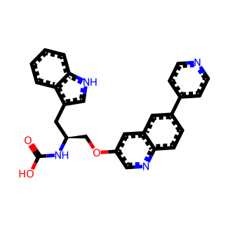 O=C(O)N[C@H](COc1cnc2ccc(-c3ccncc3)cc2c1)Cc1c[nH]c2ccccc12